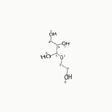 OCCOC(O)C(O)CO